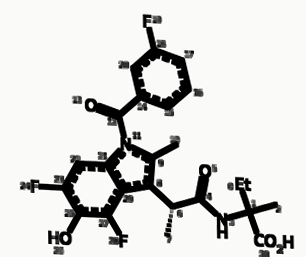 CCC(C)(NC(=O)[C@H](C)c1c(C)n(C(=O)c2cccc(F)c2)c2cc(F)c(O)c(F)c12)C(=O)O